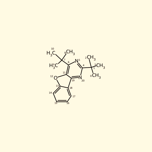 CC(C)(C)c1nc(C(C)(C)C)c2oc3ccccc3c2n1